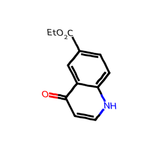 CCOC(=O)c1ccc2[nH]ccc(=O)c2c1